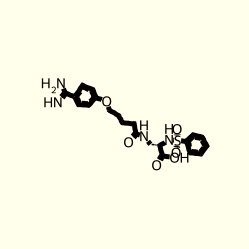 N=C(N)c1ccc(OCCCCC(=O)NC[C@H](NS(=O)(=O)c2ccccc2)C(=O)O)cc1